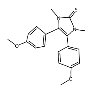 COc1ccc(-c2c(-c3ccc(OC)cc3)n(C)c(=S)n2C)cc1